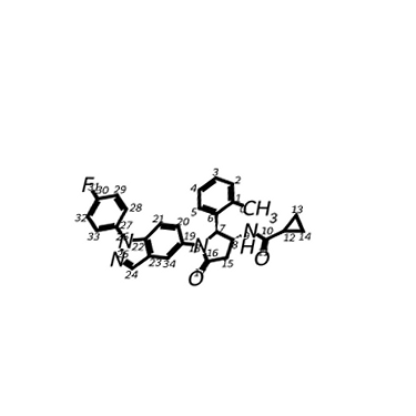 Cc1ccccc1[C@H]1[C@H](NC(=O)C2CC2)CC(=O)N1c1ccc2c(cnn2-c2ccc(F)cc2)c1